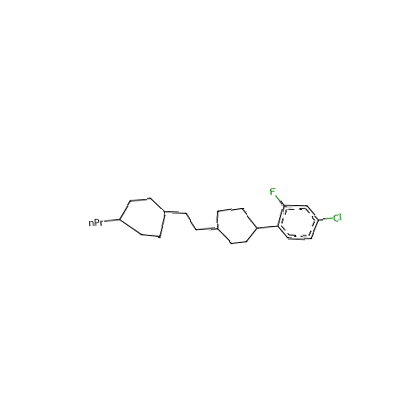 CCCC1CCC(CCC2CCC(c3ccc(Cl)cc3F)CC2)CC1